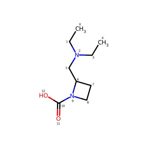 CCN(CC)CC1CCN1C(=O)O